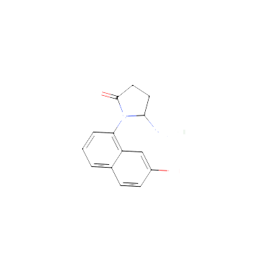 Cl.NC1CCC(=O)N1c1cccc2ccc(O)cc12